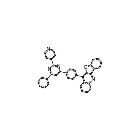 c1ccc(-c2cc(-c3ccc(-c4c5ccccc5nc5c4oc4ccccc45)cc3)nc(-c3ccncc3)n2)cc1